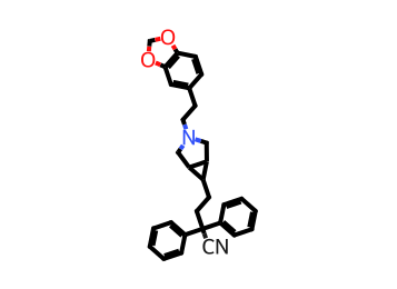 N#CC(CCC1C2CN(CCc3ccc4c(c3)OCO4)CC12)(c1ccccc1)c1ccccc1